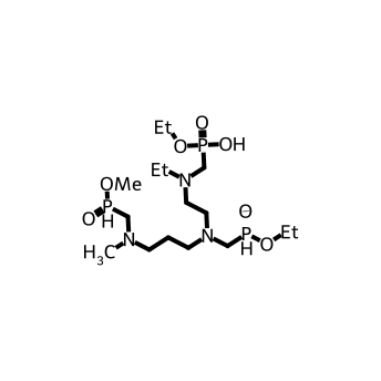 CCO[PH](=O)CN(CCCN(C)C[PH](=O)OC)CCN(CC)CP(=O)(O)OCC